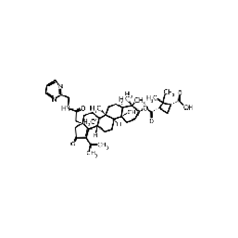 CC(C)C1=C2[C@H]3CC[C@@H]4[C@@]5(C)CC[C@H](OC(=O)[C@H]6C[C@@H](C(=O)O)C6(C)C)C(C)(C)[C@@H]5CC[C@@]4(C)[C@]3(C)CC[C@@]2(CC(=O)NCc2ncccn2)CC1=O